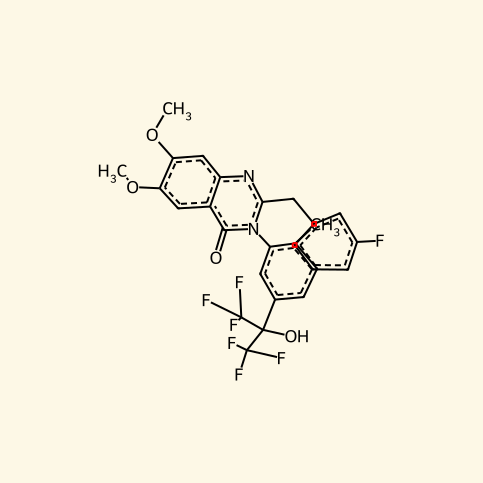 COc1cc2nc(Cc3cccc(F)c3)n(-c3cc(C(O)(C(F)(F)F)C(F)(F)F)ccc3C)c(=O)c2cc1OC